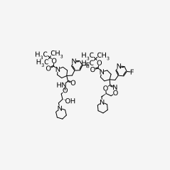 CC(C)(C)OC(=O)N1CCC(Cc2cncc(F)c2)(C(=O)NOC[C@H](O)CN2CCCCC2)CC1.CC(C)(C)OC(=O)N1CCC(Cc2cncc(F)c2)(C2=NOC[C@@H](CN3CCCCC3)O2)CC1